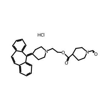 Cl.O=CN1CCC(C(=O)OCCN2CCC(=C3c4ccccc4C=Cc4ccccc43)CC2)CC1